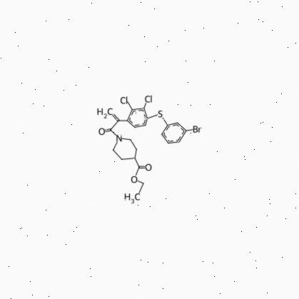 C=C(C(=O)N1CCC(C(=O)OCC)CC1)c1ccc(Sc2cccc(Br)c2)c(Cl)c1Cl